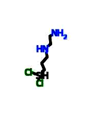 NCCNCCC[SiH](Cl)Cl